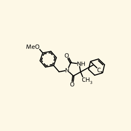 COc1ccc(CN2C(=O)NC(C)(C3CC4C=CC3CC4)C2=O)cc1